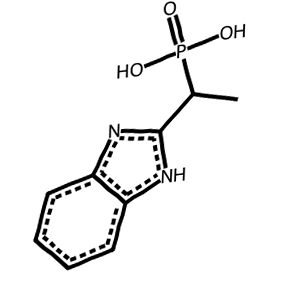 CC(c1nc2ccccc2[nH]1)P(=O)(O)O